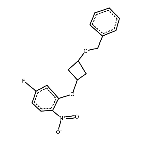 O=[N+]([O-])c1ccc(F)cc1OC1CC(OCc2ccccc2)C1